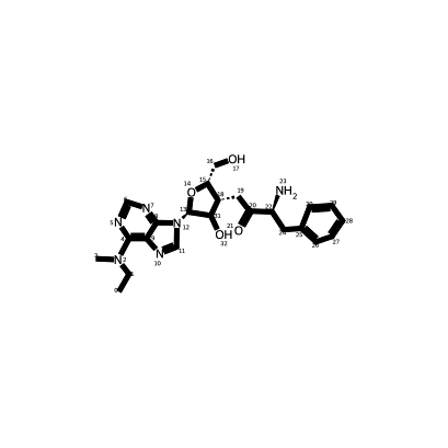 CCN(C)c1ncnc2c1ncn2[C@@H]1O[C@H](CO)[C@H](CC(=O)[C@@H](N)Cc2ccccc2)C1O